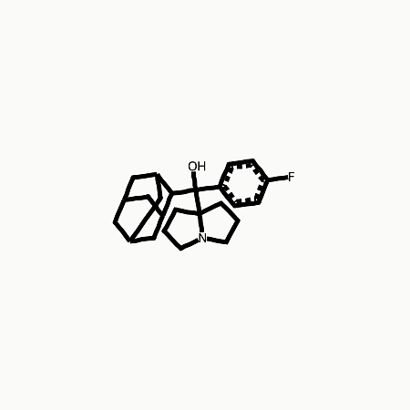 OC(c1ccc(F)cc1)(C1C2CC3CC(C2)CC1C3)C12CCCN1CCC2